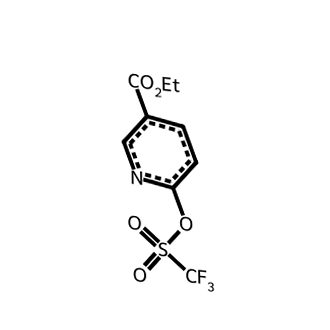 CCOC(=O)c1ccc(OS(=O)(=O)C(F)(F)F)nc1